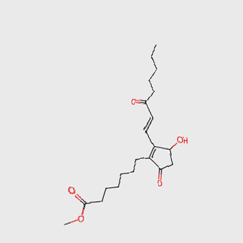 CCCCCC(=O)C=CC1=C(CCCCCCC(=O)OC)C(=O)CC1O